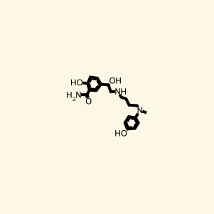 CN(CCCCNCC(O)c1ccc(O)c(C(N)=O)c1)c1ccc(O)cc1